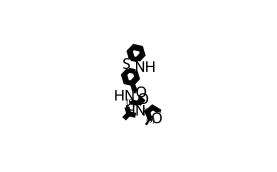 CC(C)C[C@H](NC(=O)C1=CC2Nc3ccccc3SC2C=C1)C(=O)N[C@H]1CCO[C@H]1C